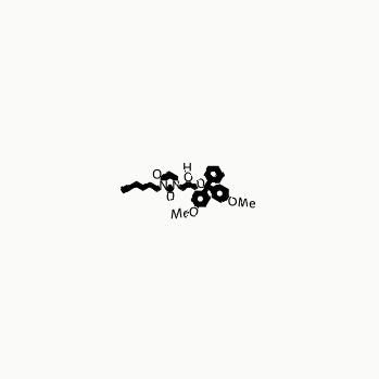 C#CCCCCn1c(=O)ccn(CC(O)COC(c2ccccc2)(c2ccc(OC)cc2)c2ccc(OC)cc2)c1=O